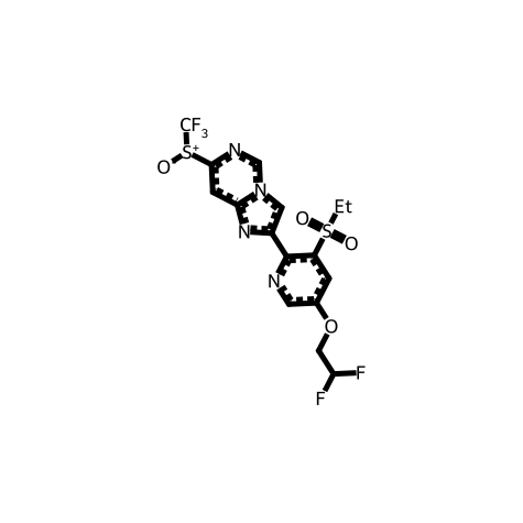 CCS(=O)(=O)c1cc(OCC(F)F)cnc1-c1cn2cnc([S+]([O-])C(F)(F)F)cc2n1